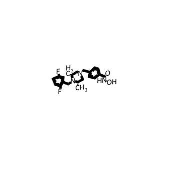 C[C@@H]1CN(Cc2ccc(C(=O)NO)cc2)C[C@H](C)N1Cc1cc(F)ccc1F